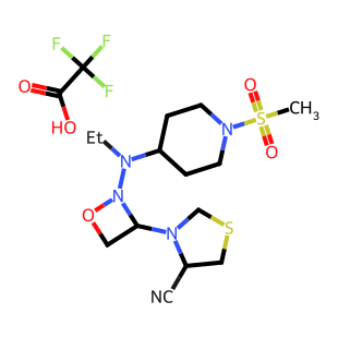 CCN(C1CCN(S(C)(=O)=O)CC1)N1OCC1N1CSCC1C#N.O=C(O)C(F)(F)F